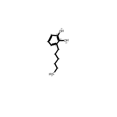 CC[CH]CCCc1cccc(O)c1O